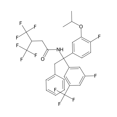 CC(C)Oc1cc(C(Cc2ccccc2)(NC(=O)CC(C(F)(F)F)C(F)(F)F)c2cc(F)cc(C(F)(F)F)c2)ccc1F